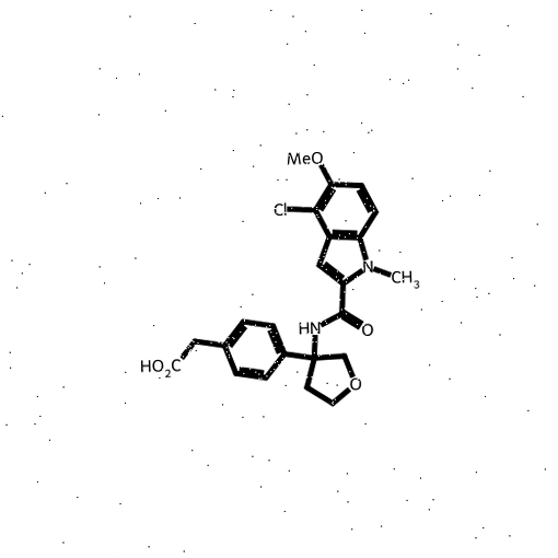 COc1ccc2c(cc(C(=O)NC3(c4ccc(CC(=O)O)cc4)CCOC3)n2C)c1Cl